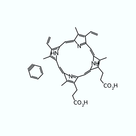 C=CC1=C(C)c2cc3[nH]c(cc4nc(cc5[nH]c(cc1n2)c(C)c5CCC(=O)O)C(CCC(=O)O)=C4C)c(C)c3C=C.c1ccccc#1